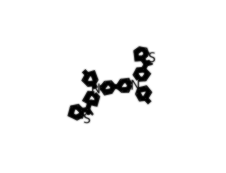 Cc1ccc(N(c2ccc(-c3ccc(N(c4ccc(C)cc4)c4ccc(-c5csc6ccccc56)cc4)cc3)cc2)c2ccc(-c3csc4ccccc34)cc2)cc1